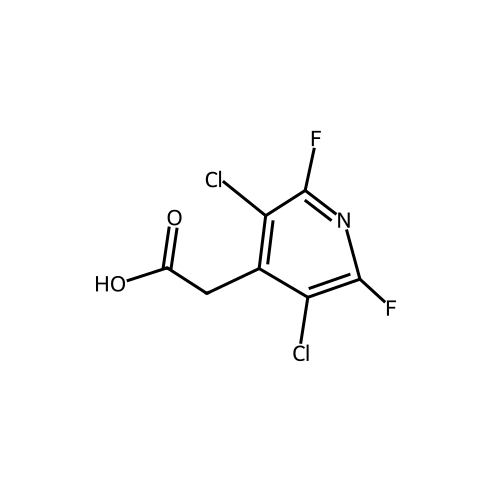 O=C(O)Cc1c(Cl)c(F)nc(F)c1Cl